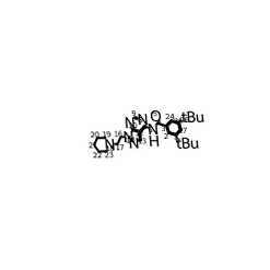 CC(C)(C)c1cc(C(=O)Nc2ncnc3c2cnn3CCN2CCCCC2)cc(C(C)(C)C)c1